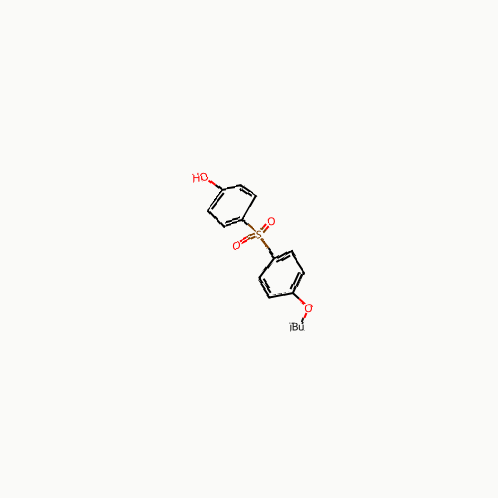 CCC(C)Oc1ccc(S(=O)(=O)c2ccc(O)cc2)cc1